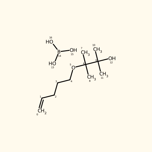 C=CCCCOC(C)(C)C(C)(C)O.OB(O)O